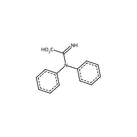 N=C(C(=O)O)N(c1ccccc1)c1ccccc1